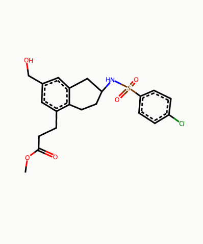 COC(=O)CCc1cc(CO)cc2c1CCC(NS(=O)(=O)c1ccc(Cl)cc1)C2